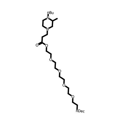 CCCCCCCCCCCCOCCOCCOCCOCCOC(=O)CCN1CCN(CCCC)C(C)C1